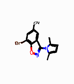 Cc1ccc(C)n1-c1noc2c(Br)cc(C#N)cc12